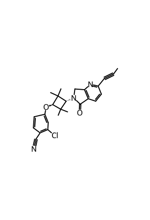 CC#Cc1ccc2c(n1)CN([C@H]1C(C)(C)[C@H](Oc3ccc(C#N)c(Cl)c3)C1(C)C)C2=O